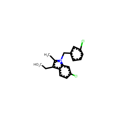 Cc1c(CC(=O)O)c2ccc(Cl)cc2n1Cc1cccc(Cl)c1